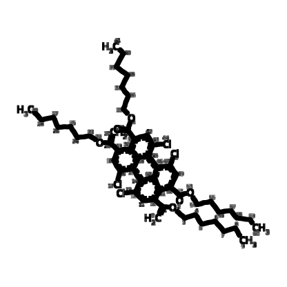 C=C(OCCCCCCC)c1cc(Cl)c2c3c(Cl)cc(C(=C)OCCCCCCC)c4c(C(=O)OCCCCCCC)cc(Cl)c(c5c(Cl)cc(C(=O)OCCCCCCC)c1c25)c43